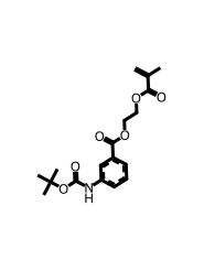 C=C(C)C(=O)OCCOC(=O)c1cccc(NC(=O)OC(C)(C)C)c1